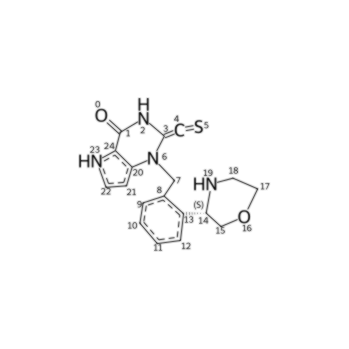 O=C1NC(=C=S)N(Cc2ccccc2[C@H]2COCCN2)c2cc[nH]c21